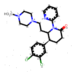 O=C(O)N1CCN(CCC2[C@H](c3ccc(Cl)c(Cl)c3)CCC(=O)N2c2ccccn2)CC1